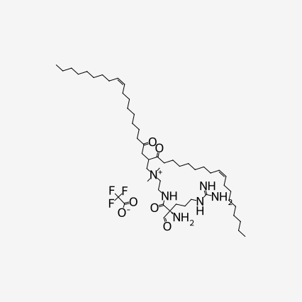 CCCCCCCC/C=C\CCCCCCCC(=O)CC(C[N+](C)(C)CCNC(=O)[C@@](N)(C=O)CCCNC(=N)N)C(=O)CCCCCCC/C=C\CCCCCCCC.O=C([O-])C(F)(F)F